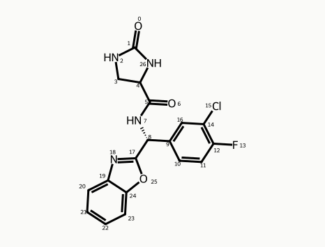 O=C1NCC(C(=O)N[C@H](c2ccc(F)c(Cl)c2)c2nc3ccccc3o2)N1